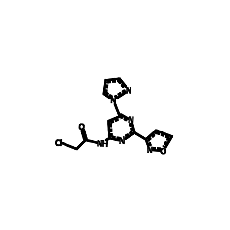 O=C(CCl)Nc1cc(-n2cccn2)nc(-c2ccon2)n1